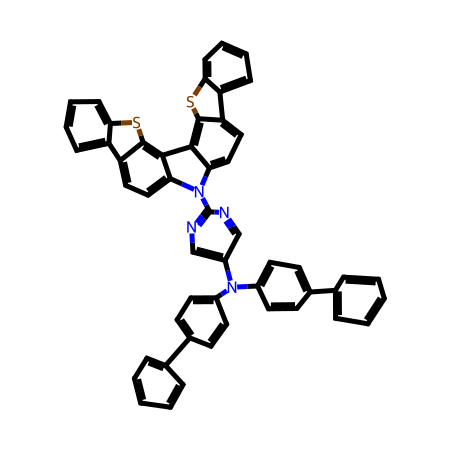 c1ccc(-c2ccc(N(c3ccc(-c4ccccc4)cc3)c3cnc(-n4c5ccc6c7ccccc7sc6c5c5c6sc7ccccc7c6ccc54)nc3)cc2)cc1